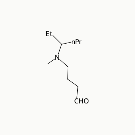 CCCC(CC)N(C)CCCC=O